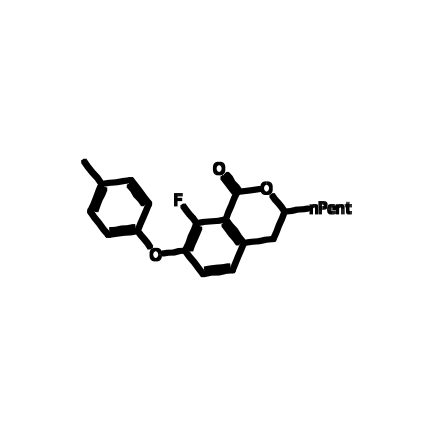 CCCCCC1Cc2ccc(Oc3ccc(C)cc3)c(F)c2C(=O)O1